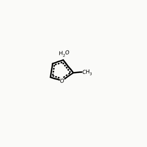 Cc1ccco1.O